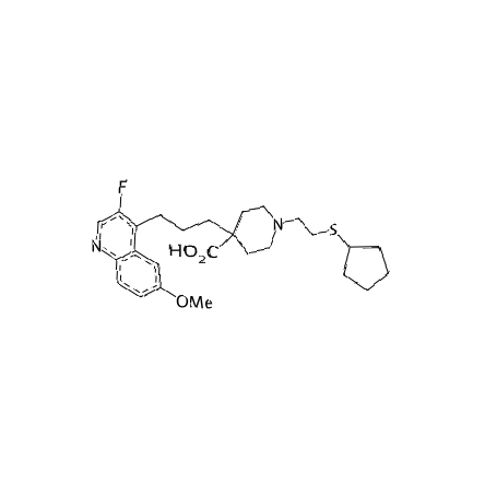 COc1ccc2ncc(F)c(CCCC3(C(=O)O)CCN(CCSC4CCCC4)CC3)c2c1